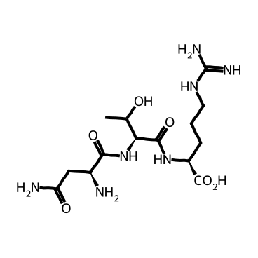 CC(O)[C@H](NC(=O)[C@@H](N)CC(N)=O)C(=O)N[C@@H](CCCNC(=N)N)C(=O)O